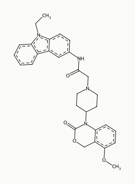 CCn1c2ccccc2c2cc(NC(=O)CN3CCC(N4C(=O)OCc5c(OC)cccc54)CC3)ccc21